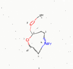 CC(C)OC1CNCCO1